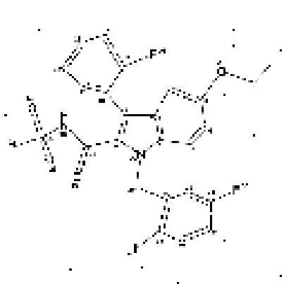 CCOc1ccc2c(c1)c(-c1ccccc1F)c(C(=O)NS(C)(=O)=O)n2Cc1cc(F)ccc1F